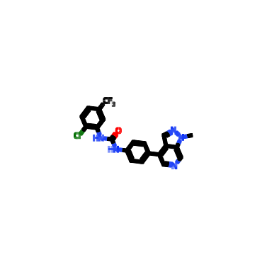 Cn1ncc2c(-c3ccc(NC(=O)Nc4cc(C(F)(F)F)ccc4Cl)cc3)cncc21